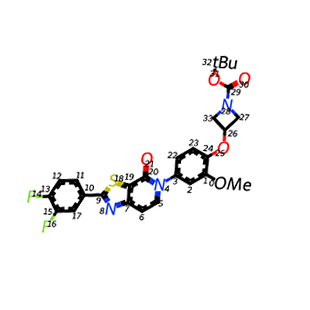 COc1cc(-n2ccc3nc(-c4ccc(F)c(F)c4)sc3c2=O)ccc1OC1CN(C(=O)OC(C)(C)C)C1